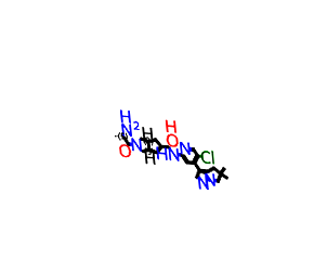 C[C@H](N)C(=O)N1C[C@H]2CC(C(O)Nc3cc(-c4cnn5c4CC(C)(C)C5)c(Cl)cn3)C[C@H]2C1